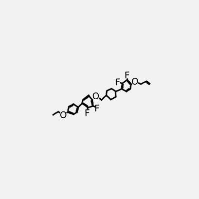 C=CCOc1ccc(C2CCC(COc3ccc(-c4ccc(OCC)cc4)c(F)c3F)CC2)c(F)c1F